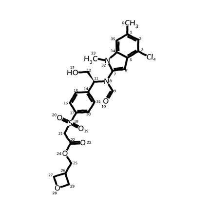 Cc1cc(Cl)c2cc(N(C=O)[C@H](CO)c3ccc(S(=O)(=O)CC(=O)OCC4COC4)cc3)n(C)c2c1